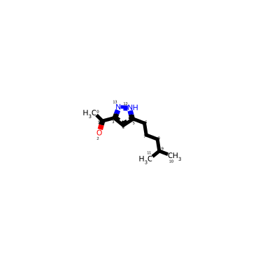 CC(=O)c1cc(CCCC(C)C)[nH]n1